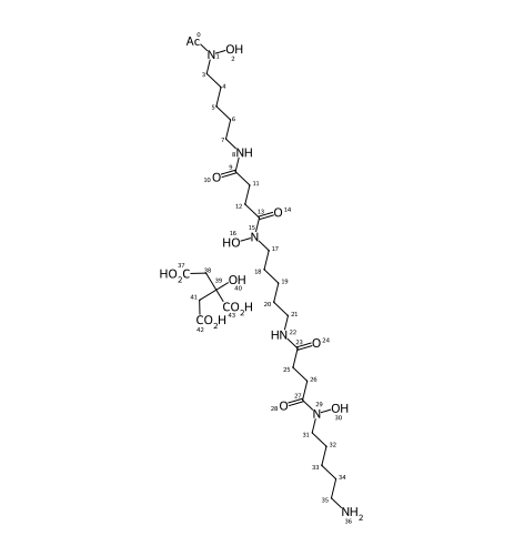 CC(=O)N(O)CCCCCNC(=O)CCC(=O)N(O)CCCCCNC(=O)CCC(=O)N(O)CCCCCN.O=C(O)CC(O)(CC(=O)O)C(=O)O